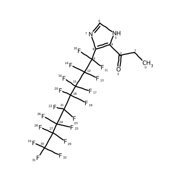 CCC(=O)c1[nH]cnc1C(F)(F)C(F)(F)C(F)(F)C(F)(F)C(F)(F)C(F)(F)C(F)(F)C(F)(F)F